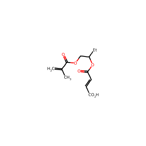 C=C(C)C(=O)OCC(CC)OC(=O)C=CC(=O)O